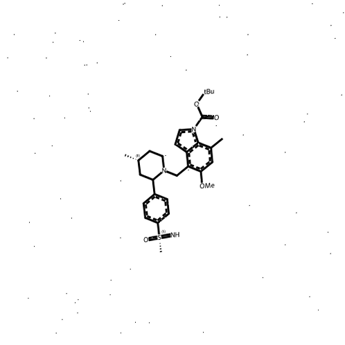 COc1cc(C)c2c(ccn2C(=O)OC(C)(C)C)c1CN1CC[C@@H](C)CC1c1ccc([S@@](C)(=N)=O)cc1